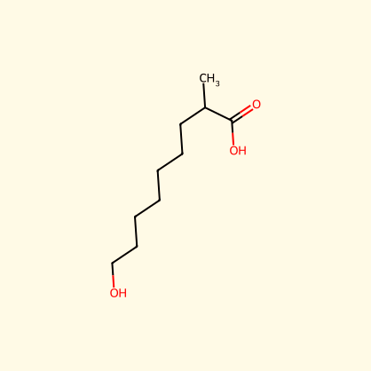 CC(CCCCCCCO)C(=O)O